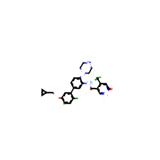 CN1CCN(c2ccc(-c3cc(OCC4CC4)c(F)cc3F)cc2NC(=O)c2c[nH]c(=O)cc2C(F)(F)F)CC1